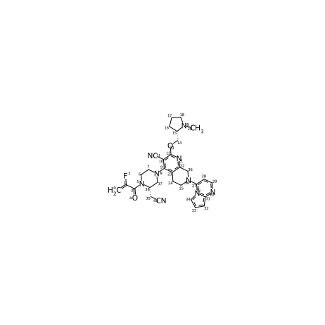 C=C(F)C(=O)N1CCN(c2c(C#N)c(OC[C@@H]3CCCN3C)nc3c2CCN(c2ccnc4cccn24)C3)C[C@@H]1CC#N